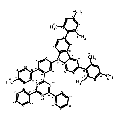 Cc1cc(C)c(-c2ccc3c(c2)c2cc(-c4c(C)cc(C)cc4C)ccc2n3-c2ccc(-c3ccc(C(F)(F)F)cc3)c(-c3nc(-c4ccccc4)nc(-c4ccccc4)n3)c2)c(C)c1